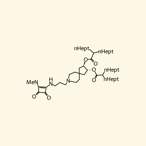 CCCCCCCC(CCCCCCC)C(=O)O[C@@H]1CC2(CCN(CCCNc3c(NC)c(=O)c3=O)CC2)C[C@H]1OC(=O)C(CCCCCCC)CCCCCCC